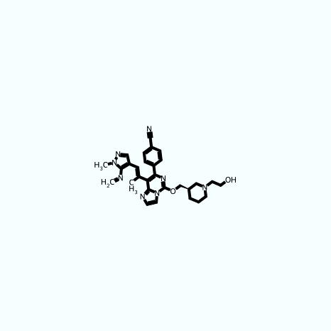 C=Nc1c(/C=C(\C)c2c(-c3ccc(C#N)cc3)nc(OC[C@@H]3CCCN(CCO)C3)n3ccnc23)cnn1C